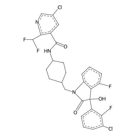 O=C(NC1CCC(CN2C(=O)C(O)(c3cccc(Cl)c3F)c3c(F)cccc32)CC1)c1cc(Cl)cnc1C(F)F